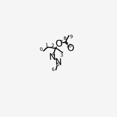 CCC(C)(N=NC)OC(C)=O